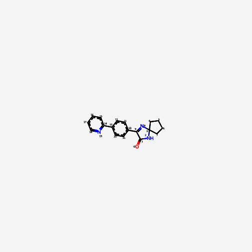 O=C1NC2(CCCC2)N=C1c1ccc(-c2ccccn2)cc1